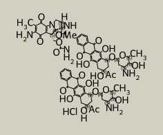 CC(=O)[C@]1(O)Cc2c(O)c3c(c(O)c2[C@@H](O[C@H]2C[C@H](N)[C@H](O)[C@H](C)O2)C1)C(=O)c1ccccc1C3=O.CC(=O)[C@]1(O)Cc2c(O)c3c(c(O)c2[C@@H](O[C@H]2C[C@H](N)[C@H](O)[C@H](C)O2)C1)C(=O)c1ccccc1C3=O.CO[C@@]12[C@H](COC(N)=O)C3=C(C(=O)C(C)=C(N)C3=O)N1C[C@@H]1N[C@@H]12.Cl